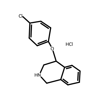 Cl.Clc1ccc(OC2CNCc3ccccc32)cc1